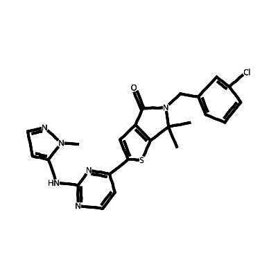 Cn1nccc1Nc1nccc(-c2cc3c(s2)C(C)(C)N(Cc2cccc(Cl)c2)C3=O)n1